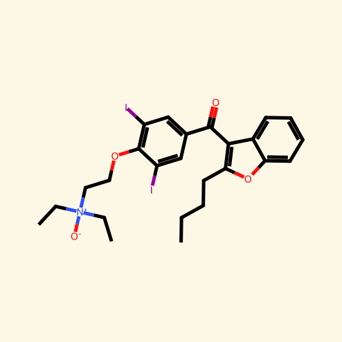 CCCCc1oc2ccccc2c1C(=O)c1cc(I)c(OCC[N+]([O-])(CC)CC)c(I)c1